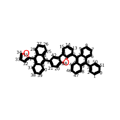 c1ccc(-c2c3ccccc3c(-c3cccc4c3oc3ccc(-c5c6ccccc6c(-c6ccco6)c6ccccc56)cc34)c3ccccc23)cc1